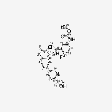 Cc1nc2ccc(-c3cnc(C(C)(C)O)nc3)cc2c(N[C@H](C)c2cc(NC(=O)OC(C)(C)C)ccc2F)c1Cl